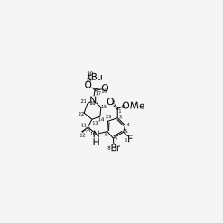 COC(=O)c1cc(F)c(Br)c(N[C@@H](C)C2CCN(C(=O)OC(C)(C)C)CC2)c1